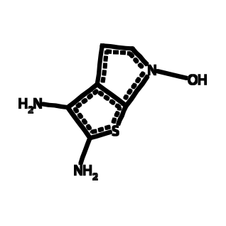 Nc1sc2c(ccn2O)c1N